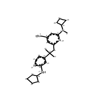 CN(c1cc(C(C)(C)C)cc(CC(C)(C)c2ccnc(NC3CCCC3)c2)n1)C1CCC1